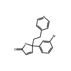 O=C1C=CC(CCc2ccncc2)(c2cccc(Br)c2)O1